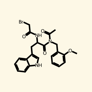 COc1ccccc1CN(C(C)=O)C(=O)C(Cc1c[nH]c2ccccc12)NC(=O)CBr